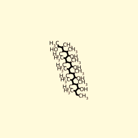 CCC(C)C(O)C(C)C(C)C(C)C(O)C(C)C(C)C(C)C(O)C(C)C(C)C(C)C(O)C(C)C(C)C(C)C(C)O